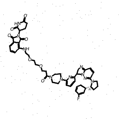 O=C1CCC(N2C(=O)c3cccc(NCCOCCOCCC(=O)N4CCN(c5cccc(C6CN=C7C=CC(N8CCC[C@@H]8C8C=C(F)C=CC8)=NN76)n5)CC4)c3C2=O)C(=O)N1